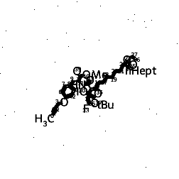 CC#CCOc1ccc(C[C@H](NC(=O)[C@@H](/C=C/CCCCCCC2(CCCCCCC)OCCO2)[C@@](O)(CCF)C(=O)OC(C)(C)C)C(=O)OC)cc1